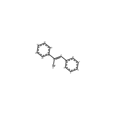 Br/C(=C\c1ccccc1)c1ccccc1